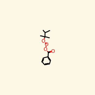 CC(C)C(C)(C)OOOC(=O)c1ccccc1